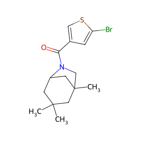 CC1(C)CC2CC(C)(CN2C(=O)c2csc(Br)c2)C1